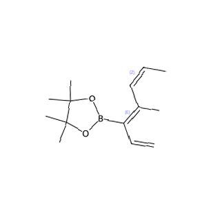 C=C/C(B1OC(C)(C)C(C)(C)O1)=C(C)/C=C\C